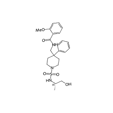 COc1ccccc1C(=O)NCC1(c2ccccc2)CCN(S(=O)(=O)N[C@@H](C)CO)CC1